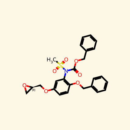 CS(=O)(=O)N(C(=O)OCc1ccccc1)c1cc(OC[C@H]2CO2)ccc1OCc1ccccc1